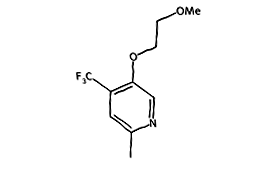 COCCOc1cnc(C)cc1C(F)(F)F